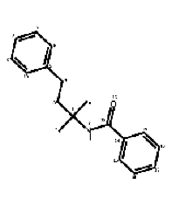 CC(C)(CCc1ccccc1)NC(=O)c1ccccc1